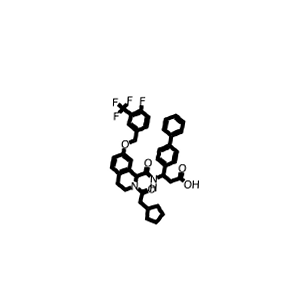 O=C(O)CC(NC(=O)C1c2cc(OCc3ccc(F)c(C(F)(F)F)c3)ccc2CCN1C(=O)CC1CCCC1)c1ccc(-c2ccccc2)cc1